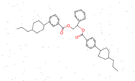 CCCC1CCC(c2ccc(C(=O)OC(COC(=O)c3cccc(C4CCC(CCC)CC4)c3)c3ccccc3)cc2)CC1